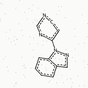 c1ccc2c(c1)cnn2-c1ccncn1